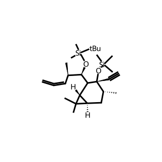 C#C[C@]1(O[Si](C)(C)C)C([C@H](O[Si](C)(C)C(C)(C)C)[C@H](C)C=C=C)[C@@H]2[C@@H](C[C@H]1C)C2(C)C